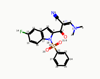 CN(C)/C=C(/C#N)C(=O)c1cc2cc(F)ccc2n1S(=O)(=O)c1ccccc1